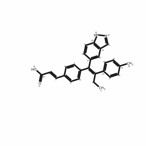 CCC(=C(c1ccc(C=CC(=O)O)cc1)c1ccc2[nH]ncc2c1)c1ccc(C)cc1